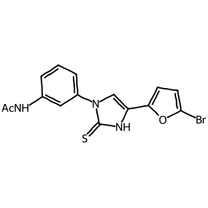 CC(=O)Nc1cccc(-n2cc(-c3ccc(Br)o3)[nH]c2=S)c1